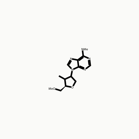 CNc1ncnc2c1ncn2C1CO[C@@H](COC)C1C